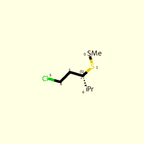 CSS[C@@H](CCCl)C(C)C